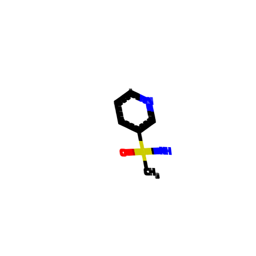 CS(=N)(=O)c1cc[c]nc1